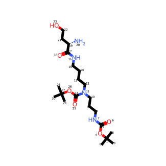 CC(C)(C)OC(=O)NCCCN(CCCCNC(=O)[C@@H](N)CCO)C(=O)OC(C)(C)C